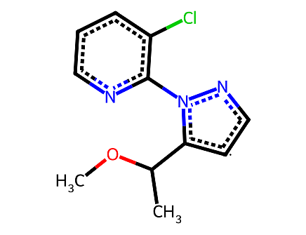 COC(C)c1[c]cnn1-c1ncccc1Cl